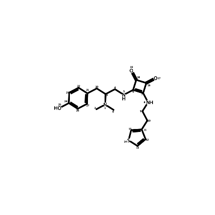 CN(C)C(CNc1c(NCCc2ccsc2)c(=O)c1=O)Cc1ccc(O)cc1